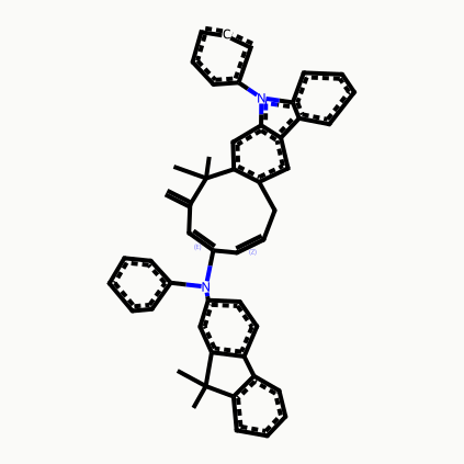 C=C1/C=C(N(c2ccccc2)c2ccc3c(c2)C(C)(C)c2ccccc2-3)\C=C/Cc2cc3c4ccccc4n(-c4ccccc4)c3cc2C1(C)C